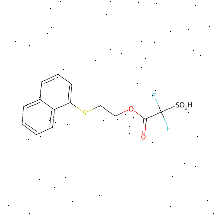 O=C(OCCSc1cccc2ccccc12)C(F)(F)S(=O)(=O)O